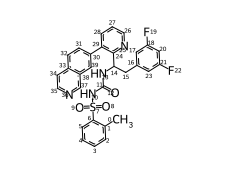 Cc1ccccc1S(=O)(=O)NC(=O)NC(Cc1cc(F)cc(F)c1)c1ncccc1-c1ccc2ccncc2c1